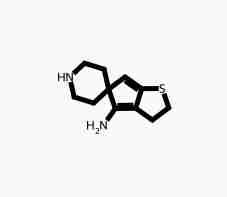 NC1=C2CCSC2=CC12CCNCC2